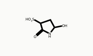 O=C1NC(O)CC1S(=O)(=O)O